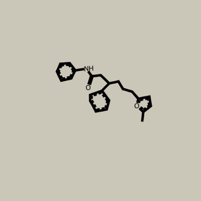 Cc1ccc(CCCC(CC(=O)Nc2ccccc2)c2ccccc2)o1